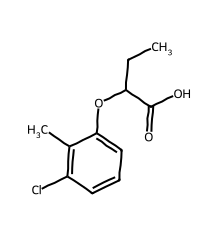 CCC(Oc1cccc(Cl)c1C)C(=O)O